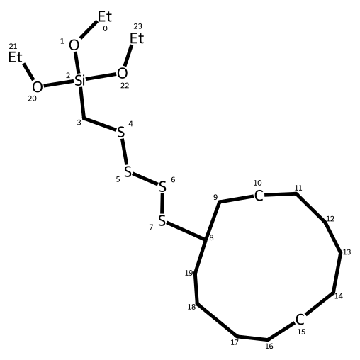 CCO[Si](CSSSSC1CCCCCCCCCCC1)(OCC)OCC